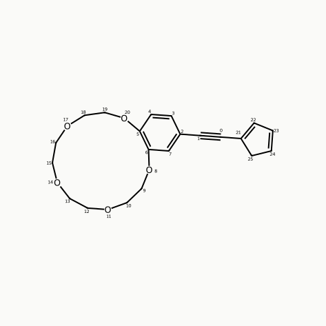 C(#Cc1ccc2c(c1)OCCOCCOCCOCCO2)C1=CC=CC1